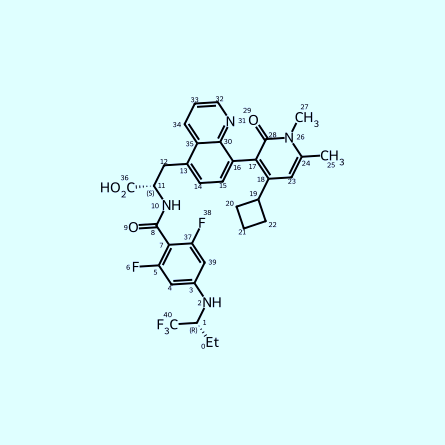 CC[C@@H](Nc1cc(F)c(C(=O)N[C@@H](Cc2ccc(-c3c(C4CCC4)cc(C)n(C)c3=O)c3ncccc23)C(=O)O)c(F)c1)C(F)(F)F